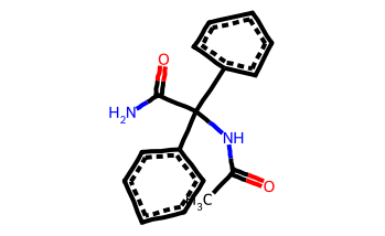 CC(=O)NC(C(N)=O)(c1ccccc1)c1ccccc1